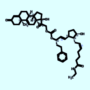 CCNC(=O)CCC/C=C\C[C@H]1[C@@H](O)CC[C@@H]1/C=C/[C@H](CCc1ccccc1)OC(=O)OCC(=O)[C@@]1(O)CC[C@H]2[C@@H]3CCC4=CC(=O)CC[C@]4(C)C3=CC[C@@]21C